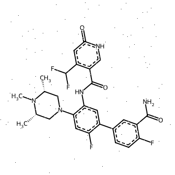 C[C@@H]1CN(c2cc(F)c(-c3ccc(F)c(C(N)=O)c3)cc2NC(=O)c2c[nH]c(=O)cc2C(F)F)C[C@H](C)N1C